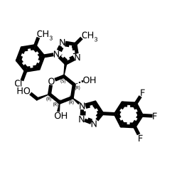 Cc1nc([C@@H]2O[C@H](CO)[C@H](O)[C@H](n3cc(-c4cc(F)c(F)c(F)c4)nn3)[C@H]2O)n(-c2cc(Cl)ccc2C)n1